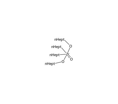 CCCCCCC[O][Zr](=[O])([CH2]CCCCCC)([CH2]CCCCCC)[O]CCCCCCC